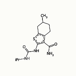 CC1CCc2c(sc(NC(=O)NC(C)C)c2C(N)=O)C1